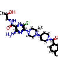 CCC(O)CNC(=O)c1nc(Cl)c(N2CCN(C3CCN(C(=O)c4ccc(C)cc4)CC3)[C@@H](CC)C2)nc1N